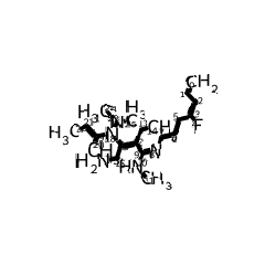 C=C/C=C(F)\C=C\C/N=C(NC)\C(CC)=C(/CN)N(/C(C)=C/C)N(C)C